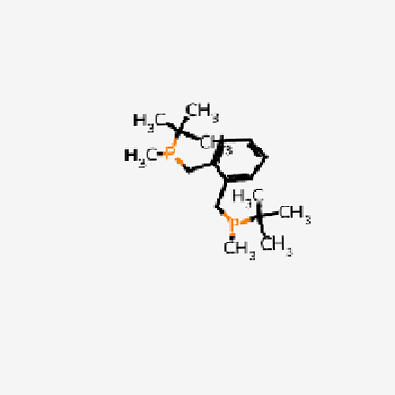 CP(Cc1ccccc1CP(C)C(C)(C)C)C(C)(C)C